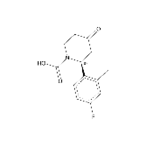 Cc1cc(F)ccc1[C@@H]1CC(=O)CCN1C(=O)O